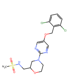 CS(=O)(=O)NCC1CN(c2ncc(OCc3c(Cl)cccc3Cl)cn2)CCO1